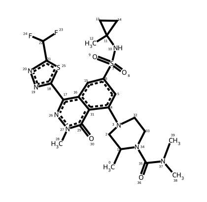 CC1CN(c2cc(S(=O)(=O)NC3(C)CC3)cc3c(-c4nnc(C(F)F)s4)nn(C)c(=O)c23)CCN1C(=O)N(C)C